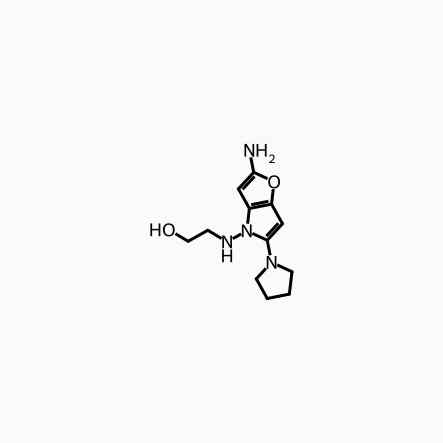 Nc1cc2c(cc(N3CCCC3)n2NCCO)o1